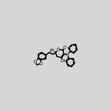 CC(C)C1(CCc2ccc3c(c2)OCO3)CC(O)=C(N(c2ccccc2)c2ccccc2)C(=O)O1